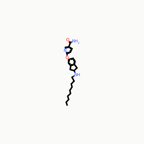 CCCCCCCCCCNC1Cc2ccc(Oc3ccc(C(N)=O)cn3)cc2C1